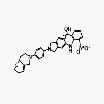 O=C(O)c1cccc([N+](=O)[O-])c1Nc1ccc2c(c1)CN(c1ccc(N3CCC4CCCC=C4C3)cc1)C2